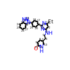 CCc1cc(NCCc2ccc(=O)[nH]c2)nc(-c2ccc(-n3nnc4ccccc43)cc2)n1